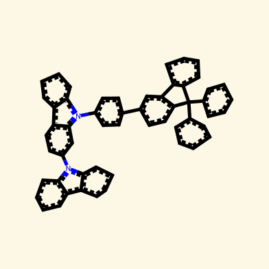 c1ccc(C2(c3ccccc3)c3ccccc3-c3cc(-c4ccc(-n5c6ccccc6c6ccc(-n7c8ccccc8c8ccccc87)cc65)cc4)ccc32)cc1